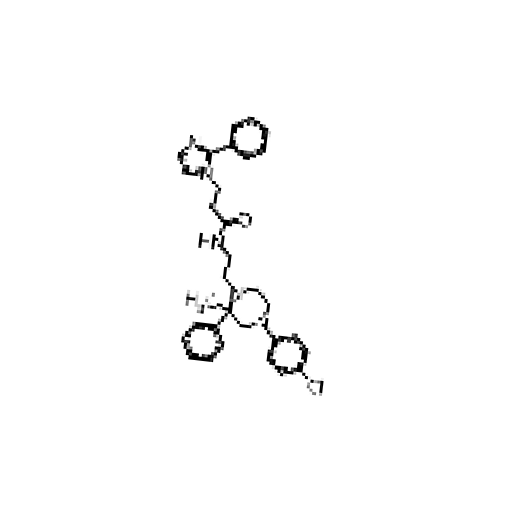 CC1(c2ccccc2)CN(c2ccc(Cl)cc2)CCN1CCNC(=O)CCn1ccnc1-c1ccccc1